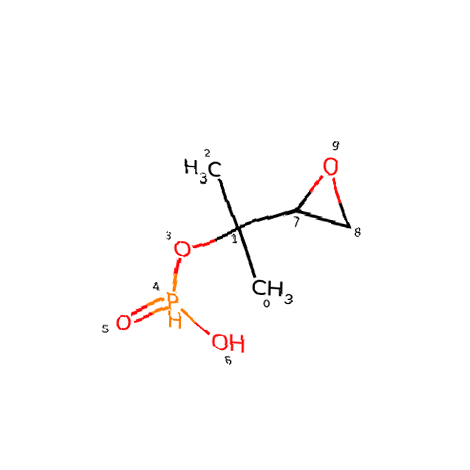 CC(C)(O[PH](=O)O)C1CO1